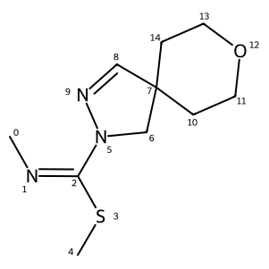 C/N=C(/SC)N1CC2(C=N1)CCOCC2